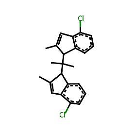 CC1=Cc2c(Cl)cccc2C1C(C)(C)C1C(C)=Cc2c(Cl)cccc21